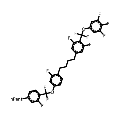 CCCCCc1ccc(C(F)(F)Oc2ccc(CCCCc3cc(F)c(C(F)(F)Oc4cc(F)c(F)c(F)c4)c(F)c3)c(F)c2)c(F)c1